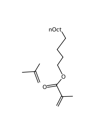 C=C(C)C.C=C(C)C(=O)OCCCCCCCCCCCC